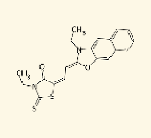 CCN1C(=O)/C(=C\C=C2/Oc3cc4ccccc4cc3N2CC)SC1=S